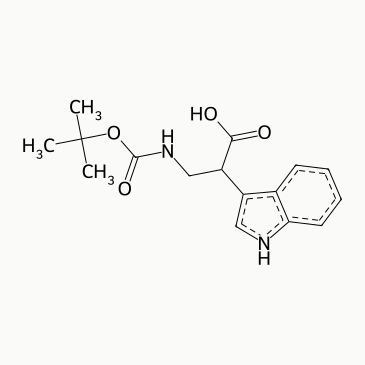 CC(C)(C)OC(=O)NCC(C(=O)O)c1c[nH]c2ccccc12